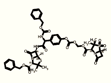 CC1(C)S[C@@H]2[C@H](NC(=O)C(NC(=O)OCc3ccccc3)c3ccc(OC(=O)OCOC(=O)[C@@H]4N5C(=O)C[C@H]5S(=O)(=O)C4(C)C)cc3)C(=O)N2[C@H]1C(=O)OCc1ccccc1